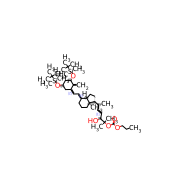 C=C1/C(=C\C=C2/CCC[C@]3(C)[C@@H]([C@H](C)/C=C/[C@@H](O)C(C)(C)OC(=O)OCCC)CC[C@@H]23)C[C@@H](O[Si](C)(C)C(C)(C)C)C[C@@H]1O[Si](C)(C)C(C)(C)C